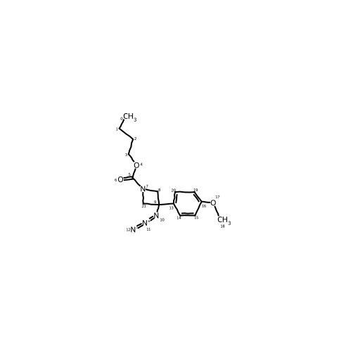 CCCCOC(=O)N1CC(N=[N+]=[N-])(c2ccc(OC)cc2)C1